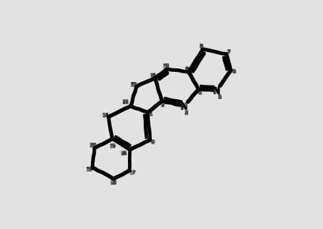 C1=C2c3nc4ncccc4cc3CC2CC2=C1CCCC2